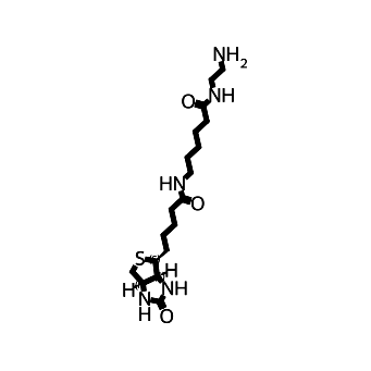 NCCNC(=O)CCCCCNC(=O)CCCC[C@@H]1SC[C@@H]2NC(=O)N[C@@H]21